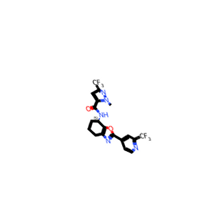 Cn1nc(C(F)(F)F)cc1C(=O)N[C@H]1CCCc2nc(-c3ccnc(C(F)(F)F)c3)oc21